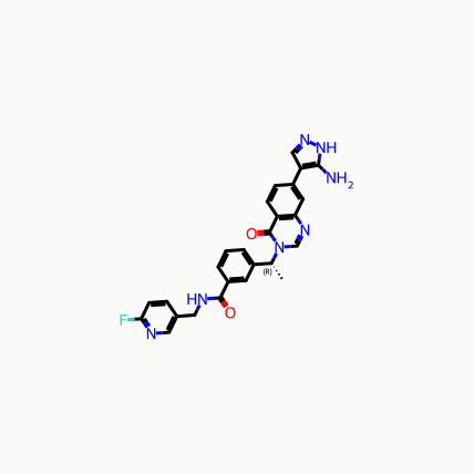 C[C@H](c1cccc(C(=O)NCc2ccc(F)nc2)c1)n1cnc2cc(-c3cn[nH]c3N)ccc2c1=O